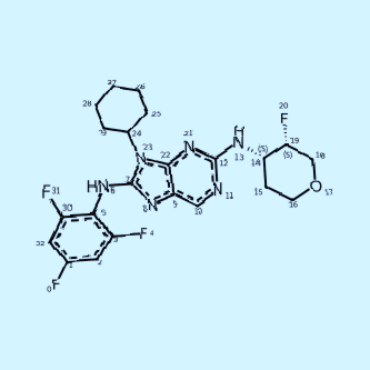 Fc1cc(F)c(Nc2nc3cnc(N[C@H]4CCOC[C@H]4F)nc3n2C2CCCCC2)c(F)c1